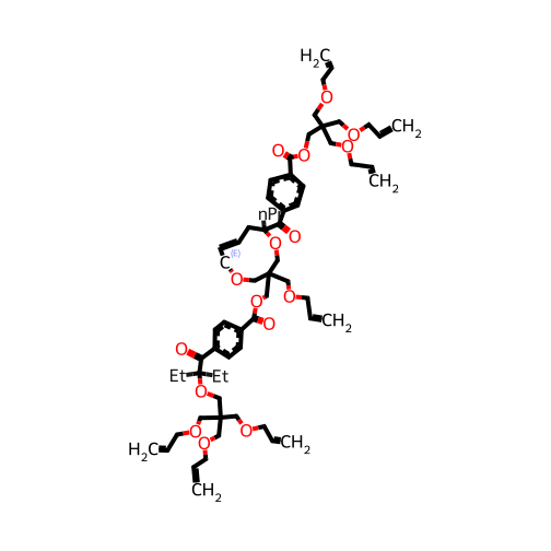 C=CCOCC(COCC=C)(COCC=C)COC(=O)c1ccc(C(=O)C2(CCC)C/C=C/COCC(COCC=C)(COC(=O)c3ccc(C(=O)C(CC)(CC)OCC(COCC=C)(COCC=C)COCC=C)cc3)CO2)cc1